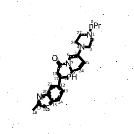 CCCN1CCN(C2=CN3C(=O)C=C(c4ccc5sc(C)nc5c4)PC3C=C2)CC1